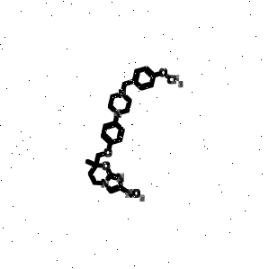 CC1(COc2ccc(N3CCN(Cc4ccc(OC(F)(F)F)cc4)CC3)cc2)CCn2cc([N+](=O)[O-])nc2O1